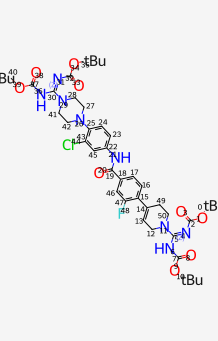 CC(C)(C)OC(=O)/N=C(/NC(=O)OC(C)(C)C)N1CC=C(c2ccc(C(=O)Nc3ccc(N4CCN(/C(=N\C(=O)OC(C)(C)C)NC(=O)OC(C)(C)C)CC4)c(Cl)c3)cc2F)CC1